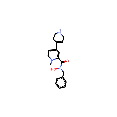 CN1CC=C(C2=CCNCC2)C=C1C(=O)N(O)Cc1ccccc1